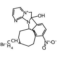 C.C.O=[N+]([O-])c1ccc(C2(O)C[n+]3cccnc3N2[C]2CCCCCCC2)cc1.[Br-]